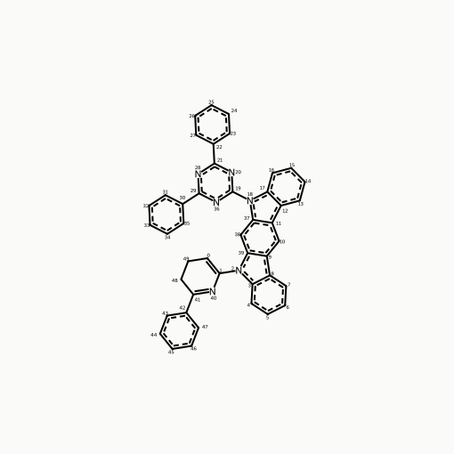 C1=C(n2c3ccccc3c3cc4c5ccccc5n(-c5nc(-c6ccccc6)nc(-c6ccccc6)n5)c4cc32)N=C(c2ccccc2)CC1